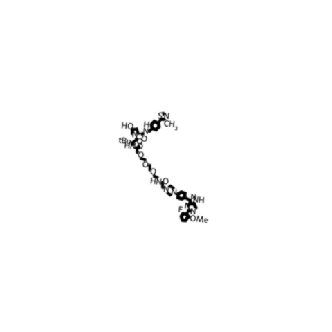 COc1cccc(F)c1-c1ncc2[nH]nc(-c3ccc(N4CCN(CC(=O)NCCOCCOCCOCC(=O)N[C@H](C(=O)N5C[C@H](O)C[C@H]5C(=O)NCc5ccc(-c6scnc6C)cc5)C(C)(C)C)CC4)cc3)c2n1